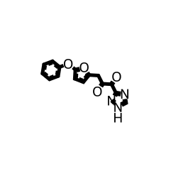 O=C(Cc1ccc(Oc2ccccc2)o1)C(=O)c1nc[nH]n1